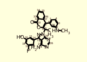 CNc1cccc(-c2c(C(C)n3nc(-c4cc(O)cc(F)c4)c4c(N)ncnc43)oc(=O)c3ccccc23)c1